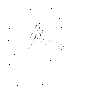 CC(C)COc1cccc2c3c4cc[nH]c4ccc3c3c4c(nn3c12)CCN(C(=O)OCc1ccccc1)C4